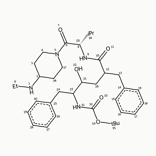 CCNC1CCN(C(=O)[C@@H](NC(=O)C(Cc2ccccc2)CC(O)C(Cc2ccccc2)NC(=O)OC(C)(C)C)C(C)C)CC1